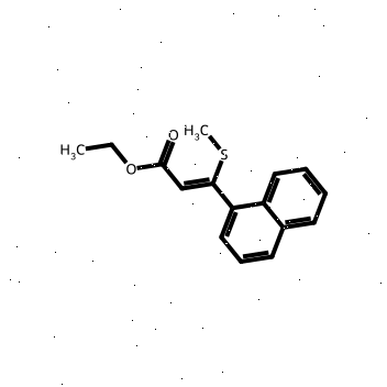 CCOC(=O)C=C(SC)c1cccc2ccccc12